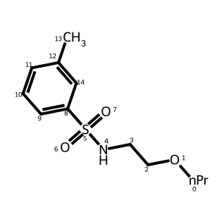 CCCOCCNS(=O)(=O)c1cccc(C)c1